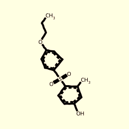 CCCOc1ccc(S(=O)(=O)c2ccc(O)cc2C)cc1